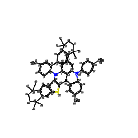 Cc1cc2c3c(c1)N(c1ccc(C(C)(C)C)cc1-c1ccc4c(c1)C(C)(C)CCC4(C)C)c1c(sc4cc5c(cc14)C(C)(C)CCC5(C)C)B3c1cc(C(C)(C)C)ccc1N2c1ccc(C(C)(C)C)cc1